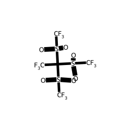 O=S(=O)(C(F)(F)F)C(C(F)(F)F)(S(=O)(=O)C(F)(F)F)S(=O)(=O)C(F)(F)F